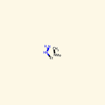 CCNN.CNC